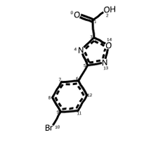 O=C(O)c1nc(-c2ccc(Br)cc2)no1